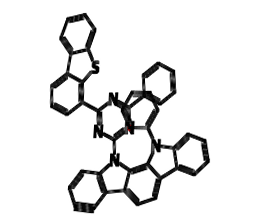 c1ccc2c(c#1)c1ccc3c4ccccc4n(-c4ccccc4)c3c1n2-c1nc(-c2ccccc2)nc(-c2cccc3c2sc2ccccc23)n1